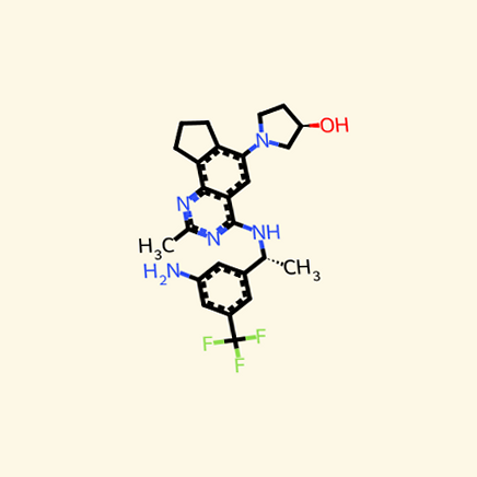 Cc1nc(N[C@H](C)c2cc(N)cc(C(F)(F)F)c2)c2cc(N3CC[C@@H](O)C3)c3c(c2n1)CCC3